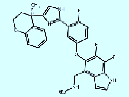 CC(C)(C)NCc1c(Oc2ccc(F)c(-c3nc([C@]4(C)CCOc5ccccc54)c[nH]3)c2)c(F)c(F)c2[nH]ccc12